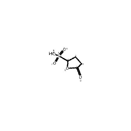 O=C1CCC(S(=O)(=O)O)O1